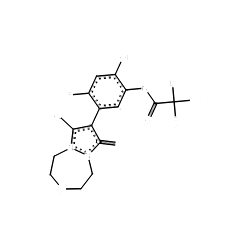 O=C(Nc1cc(-c2c(Cl)n3n(c2=O)CCOCC3)c(F)cc1O)C(F)(F)Br